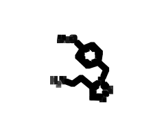 COc1ccc(Cn2nncc2CCN)cc1